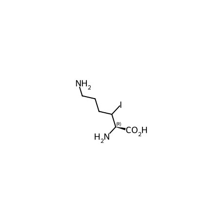 NCCCC(I)[C@H](N)C(=O)O